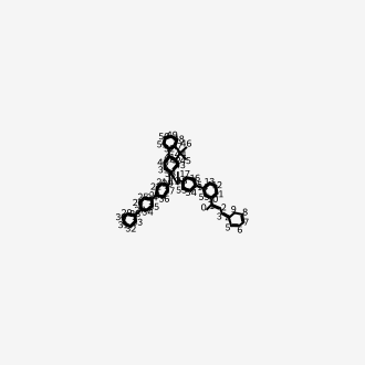 C/C(=C\C=C1\C=CC=CC1)c1cccc(-c2ccc(N(c3ccc(-c4ccc(-c5ccccc5)cc4)cc3)c3ccc4c(c3)C(C)(C)c3ccccc3-4)cc2)c1